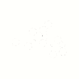 c1ccc(-c2cccc(N(c3ccccc3)c3ccc(N(c4ccccc4)c4cccc5oc6ccccc6c45)c4oc5c6ccccc6ccc5c34)c2)cc1